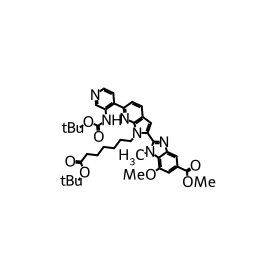 COC(=O)c1cc(OC)c2c(c1)nc(-c1cc3ccc(-c4ccncc4NC(=O)OC(C)(C)C)nc3n1CCCCCCC(=O)OC(C)(C)C)n2C